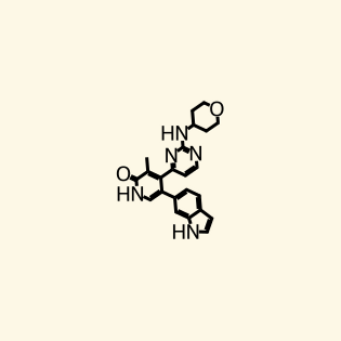 Cc1c(-c2ccnc(NC3CCOCC3)n2)c(-c2ccc3cc[nH]c3c2)c[nH]c1=O